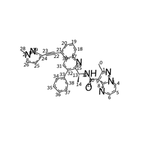 Cc1nn2cccnc2c1C(=O)N[C@@H](C)c1nc2cccc(C#Cc3ccn(C)n3)c2cc1-c1ccccc1